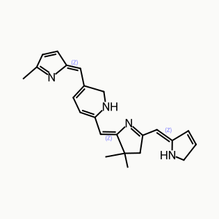 CC1=N/C(=C\C2=CC=C(/C=C3N=C(/C=C4/C=CCN4)CC\3(C)C)NC2)C=C1